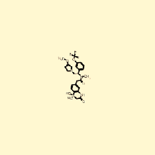 COC1CCN(C[C@H](c2cccc(OC(F)(F)F)c2)N(C)C(=O)Cc2ccc3c(c2)NC(=O)CS3(O)O)C1